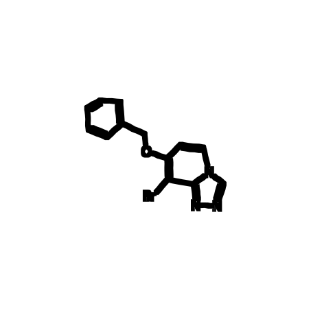 Brc1c(OCc2ccccc2)ccn2cnnc12